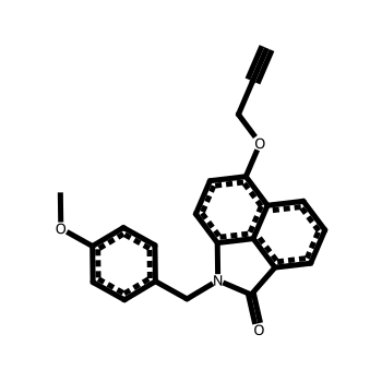 C#CCOc1ccc2c3c(cccc13)C(=O)N2Cc1ccc(OC)cc1